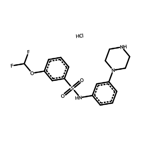 Cl.O=S(=O)(Nc1cccc(N2CCNCC2)c1)c1cccc(OC(F)F)c1